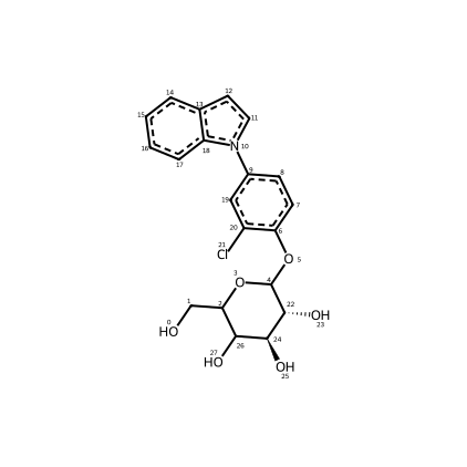 OCC1OC(Oc2ccc(-n3ccc4ccccc43)cc2Cl)[C@H](O)[C@@H](O)C1O